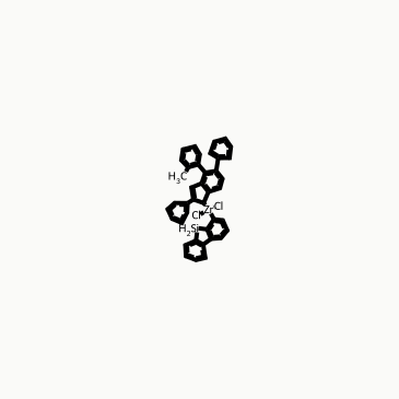 Cc1ccccc1-c1c(-c2ccccc2)ccc2c1C=C(c1ccccc1)[CH]2[Zr]([Cl])([Cl])[c]1cccc2c1[SiH2]c1ccccc1-2